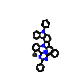 N#Cc1cccc(-n2c3ncccc3c3ccc4c(c5ccccc5n4-c4ccccc4)c32)c1-c1nc(-c2ccccc2)nc(-c2ccccc2)n1